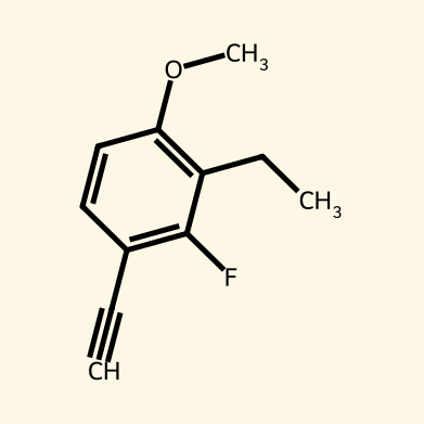 C#Cc1ccc(OC)c(CC)c1F